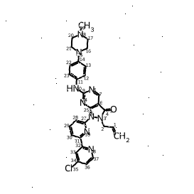 C=CCn1c(=O)c2cnc(Nc3ccc(N4CCN(C)CC4)cc3)nc2n1-c1cccc(-c2cc(Cl)ccn2)n1